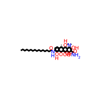 CCCCCCCCCCCCCCCC(=O)Nc1ccc2c(c1O)C(=O)C1=C(O)[C@]3(O)C(=O)C(C(N)=O)=C(O)[C@@H](N(C)C)C3[C@@H](O)C1[C@H]2C